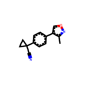 Cc1nocc1-c1ccc(C2(C#N)CC2)cc1